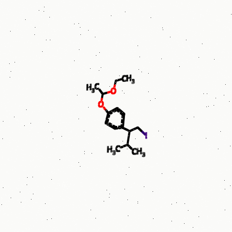 CCOC(C)Oc1ccc(C(CI)C(C)C)cc1